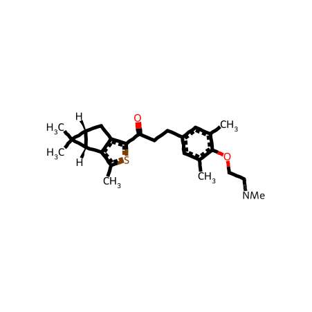 CNCCOc1c(C)cc(CCC(=O)c2sc(C)c3c2C[C@@H]2[C@H]3C2(C)C)cc1C